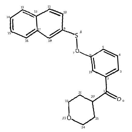 O=C(c1cccc(OSc2ccc3ccccc3c2)c1)C1CCOCC1